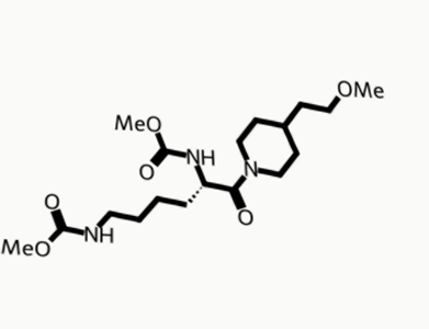 COCCC1CCN(C(=O)[C@H](CCCCNC(=O)OC)NC(=O)OC)CC1